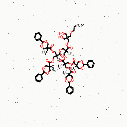 CCCCCCCCCCCCOCC(CO)(CO)COC(=O)C(C)(COC(=O)C(C)(COC(=O)C1(C)COC(c2ccccc2)OC1)COC(=O)C1(C)COC(c2ccccc2)OC1)COC(=O)C(C)(COC(=O)C1(C)COC(c2ccccc2)OC1)COC(=O)C1(C)COC(c2ccccc2)OC1